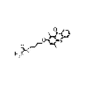 BC(=O)OCCCCOc1cc(C)c2sc3ccccc3c(=O)c2c1C